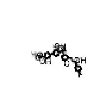 O=C1CC=C([C@]2(c3ccc(-c4ccc(P(=O)(O)O)cc4)cc3O)CCN2)C=C1CC[C@@H](O)c1ccc(F)cc1